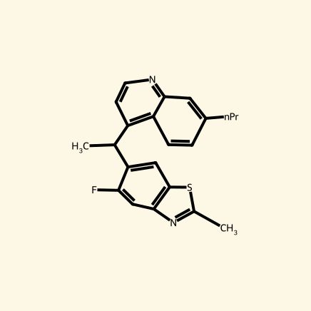 CCCc1ccc2c(C(C)c3cc4sc(C)nc4cc3F)ccnc2c1